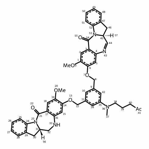 COc1cc2c(cc1OCc1cc(COc3cc4c(cc3OC)C(=O)N3c5ccccc5C[C@H]3CN4)cc(N(C)CCCC(C)=O)c1)N=C[C@@H]1Cc3ccccc3N1C2=O